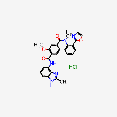 COc1cc(C(=O)N(C)c2ccccc2-c2ncco2)ccc1C(=O)Nc1cccc2[nH]c(C)nc12.Cl